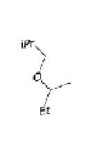 CCC(C)OCC(C)C